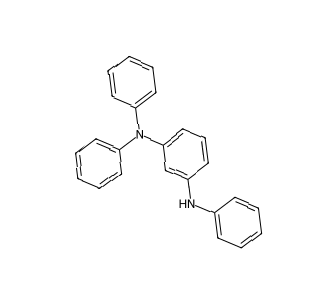 c1ccc(Nc2cccc(N(c3ccccc3)c3ccccc3)c2)cc1